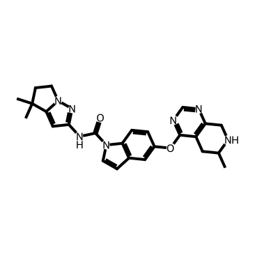 CC1Cc2c(ncnc2Oc2ccc3c(ccn3C(=O)Nc3cc4n(n3)CCC4(C)C)c2)CN1